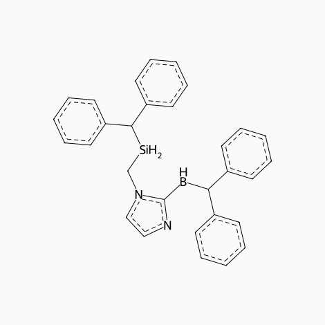 B(c1nccn1C[SiH2]C(c1ccccc1)c1ccccc1)C(c1ccccc1)c1ccccc1